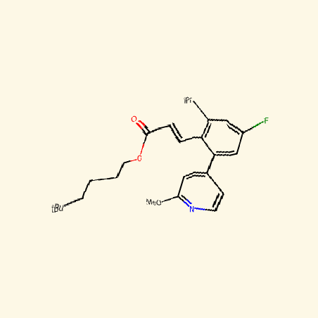 COc1cc(-c2cc(F)cc(C(C)C)c2C=CC(=O)OCCCCC(C)(C)C)ccn1